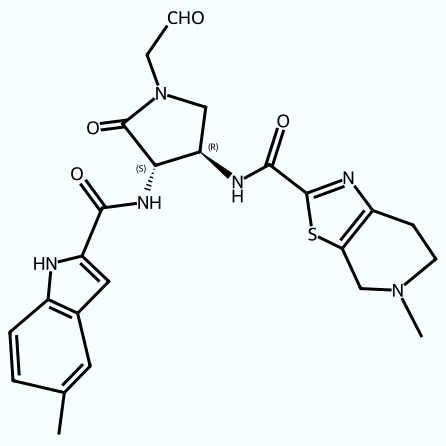 Cc1ccc2[nH]c(C(=O)N[C@@H]3C(=O)N(CC=O)C[C@H]3NC(=O)c3nc4c(s3)CN(C)CC4)cc2c1